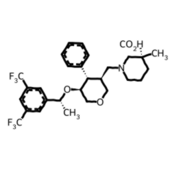 C[C@@H](O[C@@H]1COC[C@H](CN2CCC[C@@](C)(C(=O)O)C2)[C@H]1c1ccccc1)c1cc(C(F)(F)F)cc(C(F)(F)F)c1